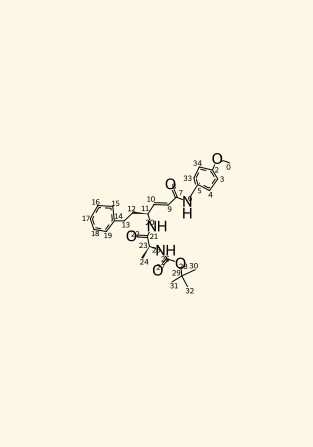 COc1ccc(NC(=O)/C=C/[C@H](CCc2ccccc2)NC(=O)[C@H](C)NC(=O)OC(C)(C)C)cc1